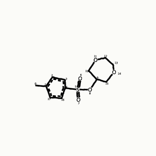 Cc1ccc(S(=O)(=O)OC2COCCOC2)cc1